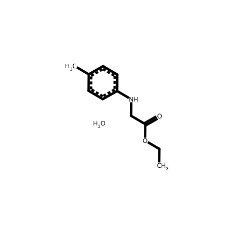 CCOC(=O)CNc1ccc(C)cc1.O